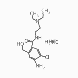 CCN(CC)CCNC(=O)c1cc(Cl)c(N)cc1CO.Cl.Cl.O